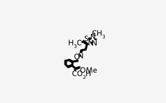 COC=C(C(=O)O)c1ccccc1CON=CCC1=C(C)SC2N(C)C=NN12